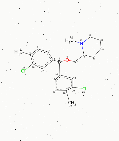 Cc1ccc(B(OCC2CCCCN2C)c2ccc(C)c(Cl)c2)cc1Cl